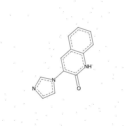 O=c1[nH]c2ccccc2cc1-n1ccnc1